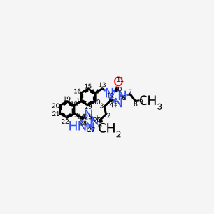 C=CCCc1nn(CCC)c(=O)n1Cc1ccc(-c2ccccc2-c2nnn[nH]2)cc1